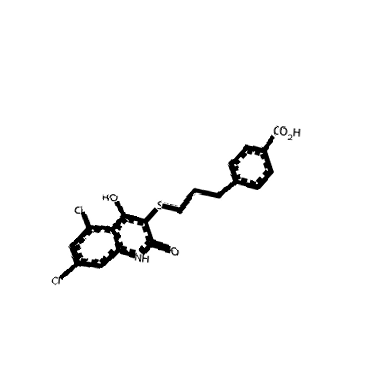 O=C(O)c1ccc(CCCSc2c(O)c3c(Cl)cc(Cl)cc3[nH]c2=O)cc1